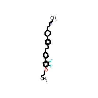 C/C=C/CCC1CCC(c2ccc(CCc3ccc(-c4ccc(OCCCC)c(F)c4F)cc3)cc2)CC1